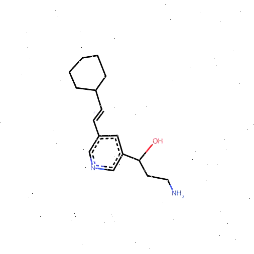 NCCC(O)c1cncc(/C=C/C2CCCCC2)c1